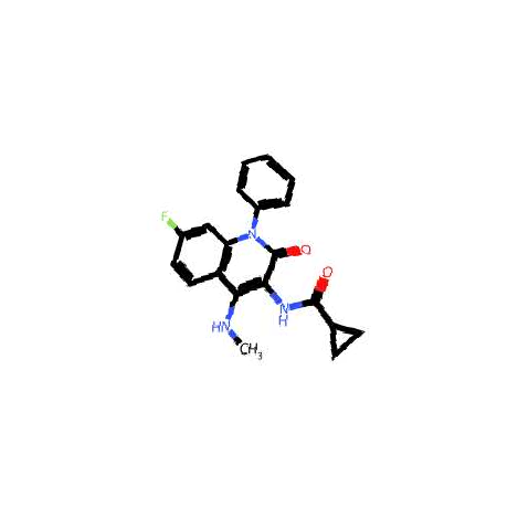 CNc1c(NC(=O)C2CC2)c(=O)n(-c2ccccc2)c2cc(F)ccc12